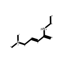 C=C(/C=C/CN(C)C)NCC